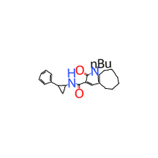 CCCCn1c2c(cc(C(=O)NC3CC3c3ccccc3)c1=O)CCCCCC2